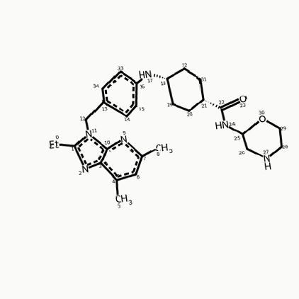 CCc1nc2c(C)cc(C)nc2n1Cc1ccc(N[C@H]2CC[C@@H](C(=O)NC3CNCCO3)CC2)cc1